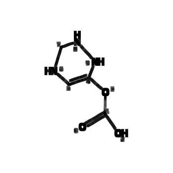 O=C(O)OC1=CNCNN1